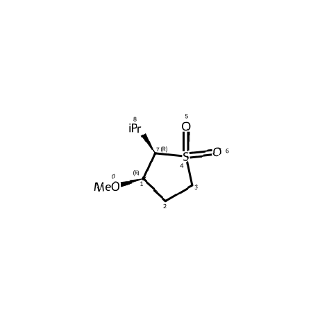 CO[C@@H]1CCS(=O)(=O)[C@@H]1C(C)C